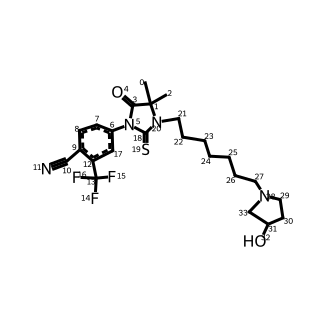 CC1(C)C(=O)N(c2ccc(C#N)c(C(F)(F)F)c2)C(=S)N1CCCCCCCN1CCC(O)C1